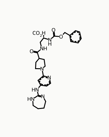 O=C(N[C@@H](CNC(=O)C1CCN(c2cc(NC3=NCCCCN3)ccn2)CC1)C(=O)O)OCc1ccccc1